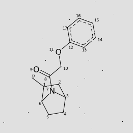 CC1CC2CCC1N2C(=O)COc1ccccc1